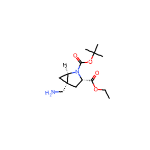 CCOC(=O)[C@@H]1C[C@@]2(CN)C[C@H]2N1C(=O)OC(C)(C)C